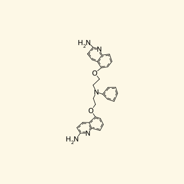 Nc1ccc2c(OCCN(CCOc3cccc4nc(N)ccc34)c3ccccc3)cccc2n1